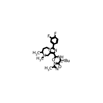 Cc1noc([C@@H](NC(=O)c2nc(-c3ccc(F)c(F)c3)n3c2CN(C)C(C)CC3)C(C)(C)C)n1